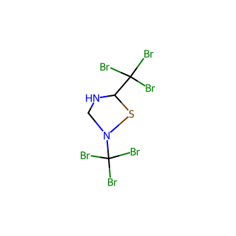 BrC(Br)(Br)C1NCN(C(Br)(Br)Br)S1